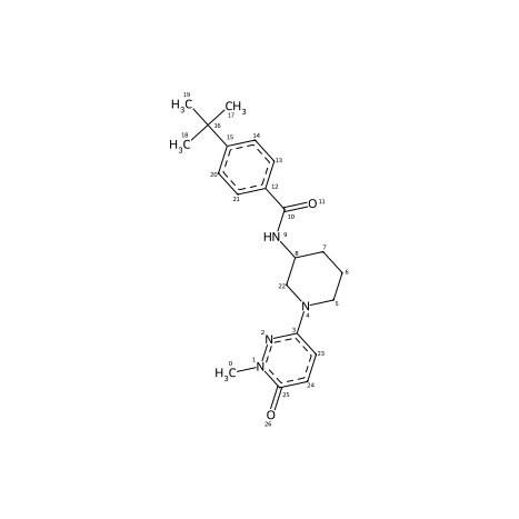 Cn1nc(N2CCCC(NC(=O)c3ccc(C(C)(C)C)cc3)C2)ccc1=O